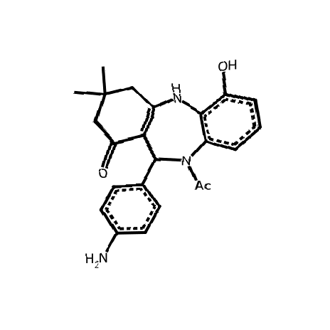 CC(=O)N1c2cccc(O)c2NC2=C(C(=O)CC(C)(C)C2)C1c1ccc(N)cc1